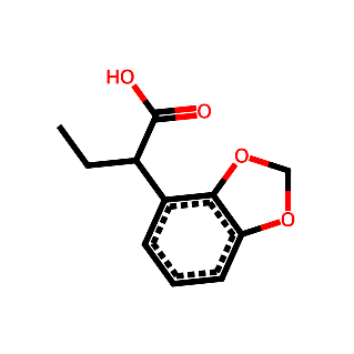 CCC(C(=O)O)c1cccc2c1OCO2